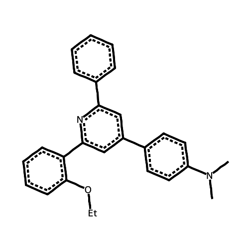 CCOc1ccccc1-c1cc(-c2ccc(N(C)C)cc2)cc(-c2ccccc2)n1